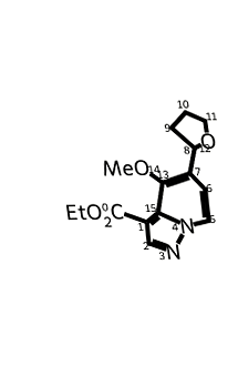 CCOC(=O)c1cnn2ccc(C3CCCO3)c(OC)c12